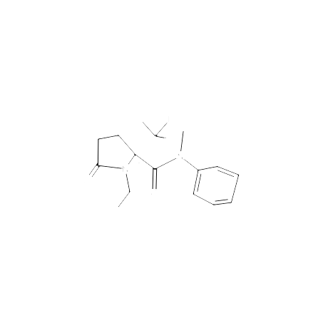 CCN1C(=O)CC[C@]1(C(=O)N(C)c1ccccc1)C(F)(F)F